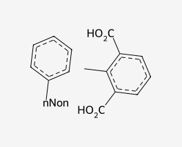 CCCCCCCCCc1ccccc1.Cc1c(C(=O)O)cccc1C(=O)O